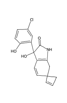 O=C1NC2=C(C=CC3(C=CC3)C2)C1(O)c1cc(Cl)ccc1O